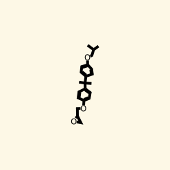 CC(C)COc1ccc(C(C)(C)c2ccc(OCC3CO3)cc2)cc1